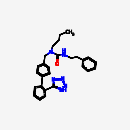 CCCCN(Cc1ccc(-c2ccccc2-c2nnn[nH]2)cc1)C(=O)NCCc1ccccc1